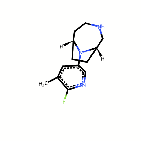 Cc1cc(N2[C@H]3CCNC[C@@H]2CC3)cnc1F